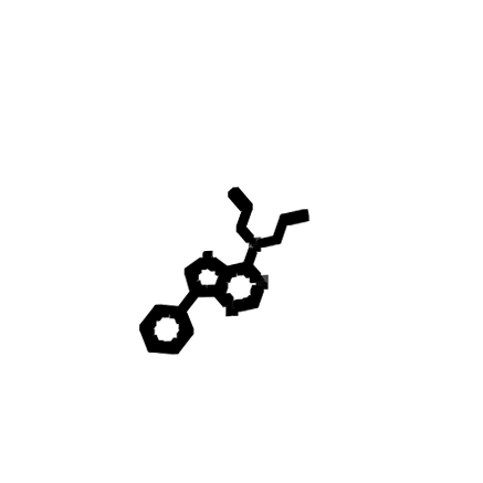 C=CCN(CC=C)c1ncnc2c(-c3ccccc3)csc12